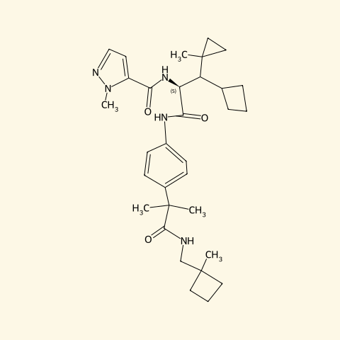 Cn1nccc1C(=O)N[C@H](C(=O)Nc1ccc(C(C)(C)C(=O)NCC2(C)CCC2)cc1)C(C1CCC1)C1(C)CC1